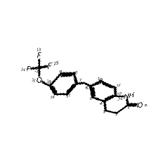 O=C1CCc2cc(-c3ccc(OC(F)(F)F)cc3)ccc2N1